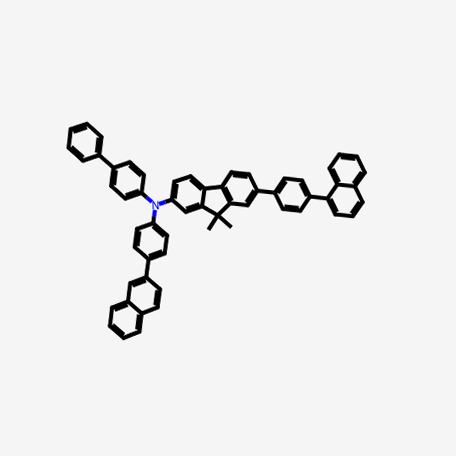 CC1(C)c2cc(-c3ccc(-c4cccc5ccccc45)cc3)ccc2-c2ccc(N(c3ccc(-c4ccccc4)cc3)c3ccc(-c4ccc5ccccc5c4)cc3)cc21